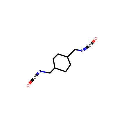 O=C=NCC1CCC(CN=C=O)CC1